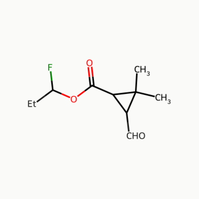 CCC(F)OC(=O)C1C(C=O)C1(C)C